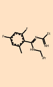 CCC(=N)/N=C(\NCC(C)C)c1c(C)cc(F)cc1F